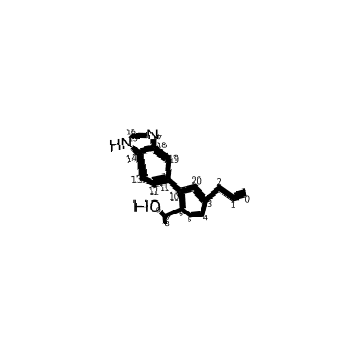 C=CCc1ccc(C(C)O)c(-c2ccc3[nH]cnc3c2)c1